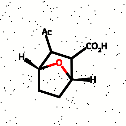 CC(=O)C1C(C(=O)O)[C@@H]2CC[C@H]1O2